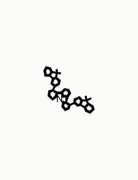 CC1(C)c2ccccc2-c2cc(-c3cccc4c3c3cccc5c6c(-c7ccc8c(c7)-c7ccccc7C8(C)C)cccc6n4c35)ccc21